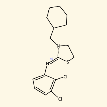 Clc1cccc(/N=C2\SCCN2CC2CCCCC2)c1Cl